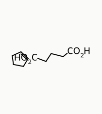 C1=CCCC1.O=C(O)CCCC(=O)O